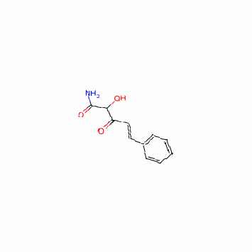 NC(=O)C(O)C(=O)/C=C/c1ccccc1